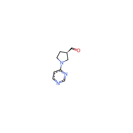 O=C[C@@H]1CCN(c2ccncn2)C1